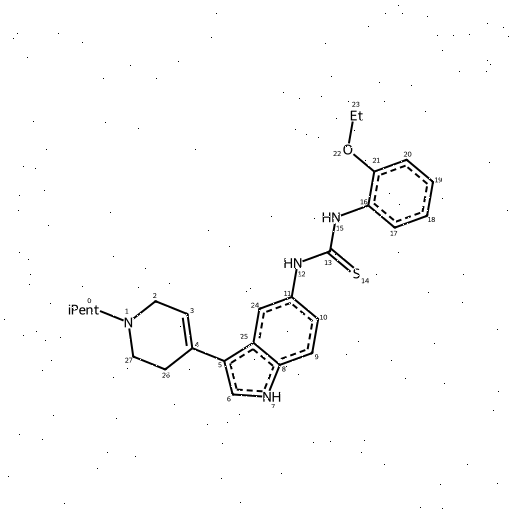 CCCC(C)N1CC=C(c2c[nH]c3ccc(NC(=S)Nc4ccccc4OCC)cc23)CC1